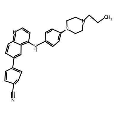 CCCN1CCN(c2ccc(Nc3ccnc4ccc(-c5ccc(C#N)cc5)cc34)cc2)CC1